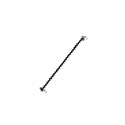 NC(=O)CCCCCCCCCCCCCCCCCCCCCCCCCCCCCCCCCCCCCCCCCCCCCCCCCCCCCCCCCCC(N)=O